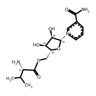 CC(C)[C@H](N)C(=O)OC[C@H]1O[C@@H]([n+]2cccc(C(N)=O)c2)[C@H](O)[C@@H]1O